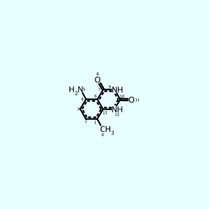 Cc1ccc(N)c2c(=O)[nH]c(=O)[nH]c12